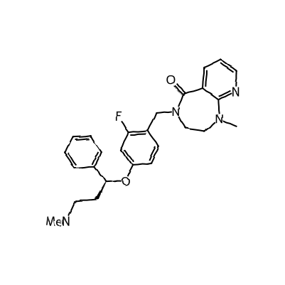 CNCC[C@H](Oc1ccc(CN2CCN(C)c3ncccc3C2=O)c(F)c1)c1ccccc1